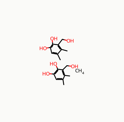 C.Cc1cc(O)c(O)c(CO)c1C.Cc1cc(O)c(O)c(CO)c1C